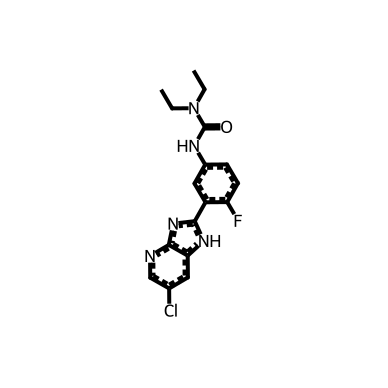 CCN(CC)C(=O)Nc1ccc(F)c(-c2nc3ncc(Cl)cc3[nH]2)c1